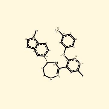 Cc1cc(C2=NOCC[C@H](c3ccc4c(ccn4C)c3)N2)c(Oc2cccc(C(F)(F)F)c2)nn1